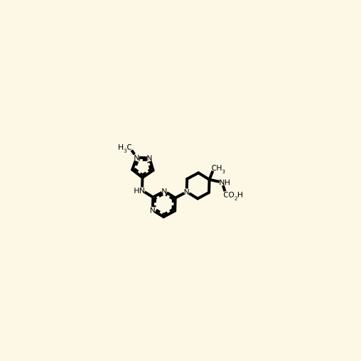 Cn1cc(Nc2nccc(N3CCC(C)(NC(=O)O)CC3)n2)cn1